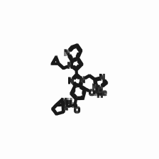 COc1cc(C(=O)N2CC3CCC2[C@@H]3N)cc2nc(-c3cc4cccnc4n3CC3CC3)n(Cc3nc[nH]n3)c12